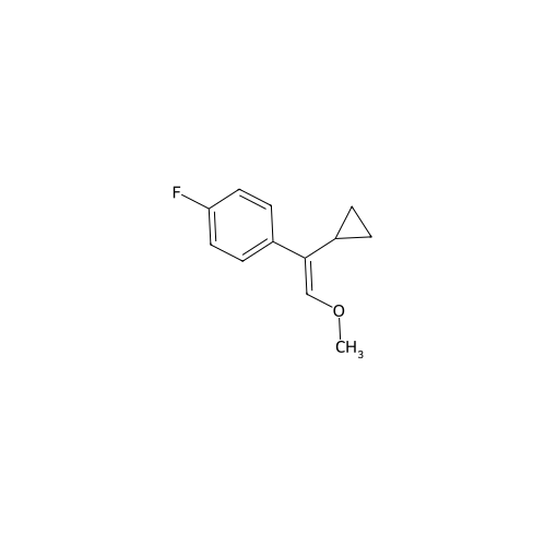 CO/C=C(/c1ccc(F)cc1)C1CC1